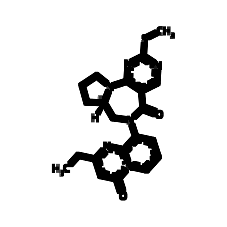 CCc1cc(=O)n2cccc(N3C[C@@H]4CCCN4c4nc(SC)ncc4C3=O)c2n1